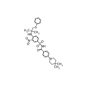 CC1(C)CCN(c2ccc(C(=O)NS(=O)(=O)c3ccc(NC(C)(C)CSc4ccccc4)c([N+](=O)[O-])c3)cc2)CC1